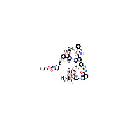 CC(C)(C)OC(=O)c1nc(N2CCc3cccc(C(=O)Nc4nc5ccccc5s4)c3C2)ccc1B1OC(C)(C)C(C)(C)O1.CCOC(=O)CN1CCC[C@@H](CCCOc2cccc(-c3ccc(N4CCc5cccc(C(=O)Nc6nc7ccccc7s6)c5C4)nc3C(=O)OC(C)(C)C)c2C)C1